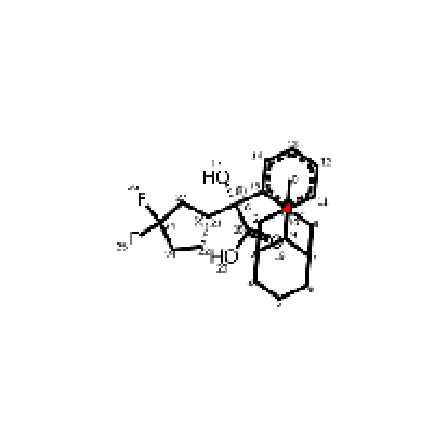 CN1CC2CCCC(C1)C2c1ccccc1[C@@](O)(C(=O)O)[C@@H]1CCC(F)(F)C1